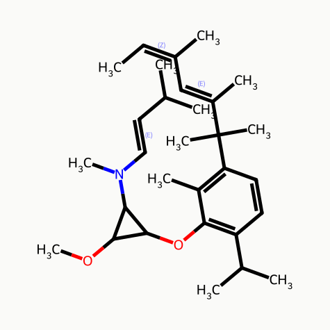 C/C=C(C)\C=C(/C)C(C)(C)c1ccc(C(C)C)c(OC2C(OC)C2N(C)/C=C/C(C)C)c1C